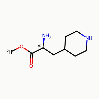 [2H]OC(=O)[C@@H](N)CC1CCNCC1